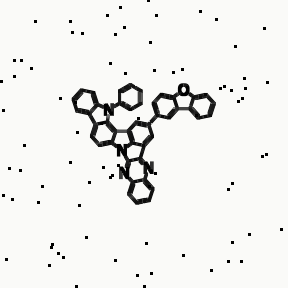 c1ccc(-n2c3ccccc3c3ccc4c(c5cc(-c6ccc7oc8ccccc8c7c6)cc6c7nc8ccccc8nc7n4c65)c32)cc1